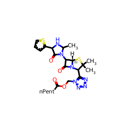 CCCCCC(=O)OCn1nnnc1C1N2C(=O)C(N3C(=O)C(c4cccs4)NC3C)[C@@H]2SC1(C)C